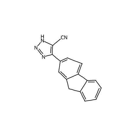 N#Cc1[nH]nnc1-c1ccc2c(c1)Cc1ccccc1-2